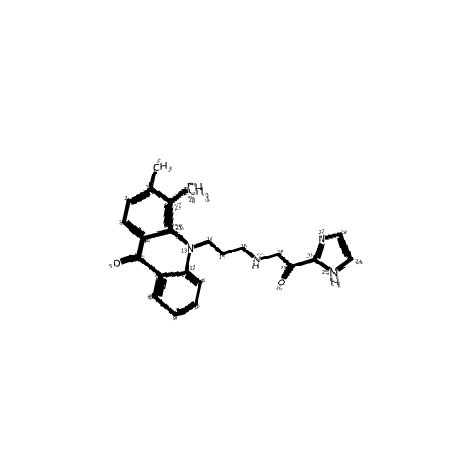 Cc1ccc2c(=O)c3ccccc3n(CCCNCC(=O)c3ncc[nH]3)c2c1C